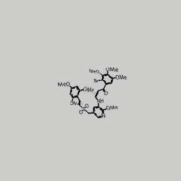 COc1cc(OC)c(/C=C/S(=O)(=O)Cc2cnc(OC)c(N/C=C\C(=O)c3cc(OC)c(OC)c(OC)c3Br)c2)c(OC)c1